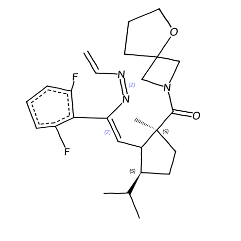 C=C/N=N\C(=C/C1[C@H](C(C)C)CC[C@]1(C)C(=O)N1CC2(CCCO2)C1)c1c(F)cccc1F